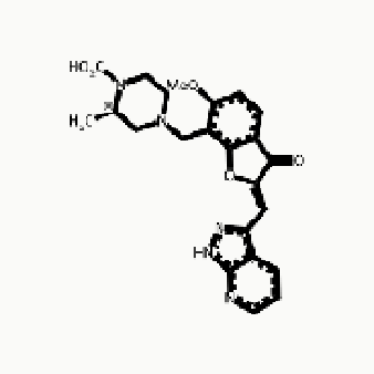 COc1ccc2c(c1CN1CCN(C(=O)O)[C@H](C)C1)OC(=Cc1n[nH]c3ncccc13)C2=O